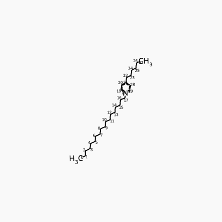 CCCCCCCCCCCCCCCCCC[n+]1ccc(CCCCCC)cc1